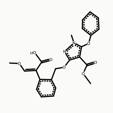 COC=C(C(=O)O)c1ccccc1COc1nn(C)c(Oc2ccccc2)c1C(=O)OC